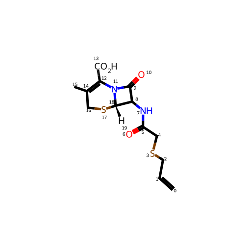 C=CCSCC(=O)NC1C(=O)N2C(C(=O)O)=C(C)CS[C@@H]12